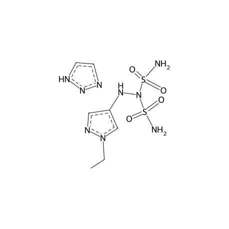 CCn1cc(NN(S(N)(=O)=O)S(N)(=O)=O)cn1.c1c[nH]nn1